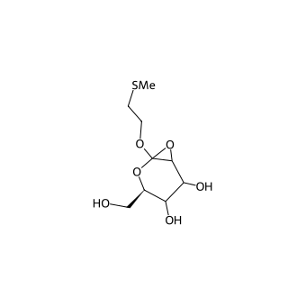 CSCCOC12OC1C(O)C(O)[C@@H](CO)O2